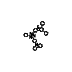 c1ccc(-c2cc(-c3ccccc3)c3sc4ccc(-c5nc(-c6ccccc6)nc(-c6ccc(-n7c8ccccc8c8ccccc87)cc6)n5)cc4c3c2)cc1